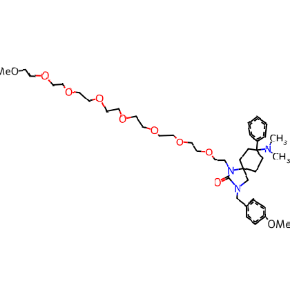 COCCOCCOCCOCCOCCOCCOCCOCCN1C(=O)N(Cc2ccc(OC)cc2)CC12CCC(c1ccccc1)(N(C)C)CC2